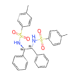 Cc1ccc(S(=O)(=O)N[C@H](c2ccccc2)[C@H](NS(=O)(=O)c2ccc(C)cc2)c2ccccc2)cc1